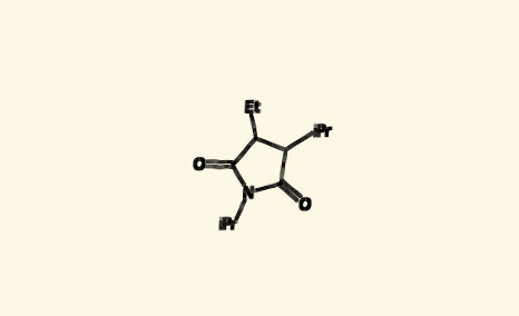 CCC1C(=O)N(C(C)C)C(=O)C1C(C)C